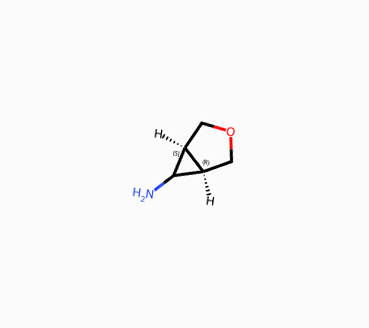 NC1[C@H]2COC[C@@H]12